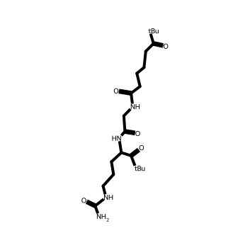 CC(C)(C)C(=O)CCCCC(=O)NCC(=O)NC(CCCNC(N)=O)C(=O)C(C)(C)C